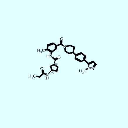 CCC(=O)N[C@@H]1CC[C@H](C(=O)Nc2cc(C(=O)N3CCC(c4ccc(-c5ccnn5C)cc4)CC3)ccc2C)C1